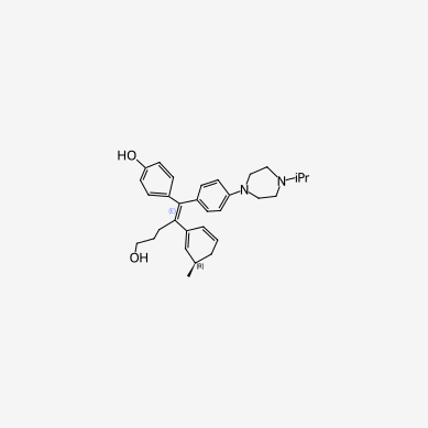 CC(C)N1CCN(c2ccc(/C(=C(/CCCO)C3=C[C@H](C)CC=C3)c3ccc(O)cc3)cc2)CC1